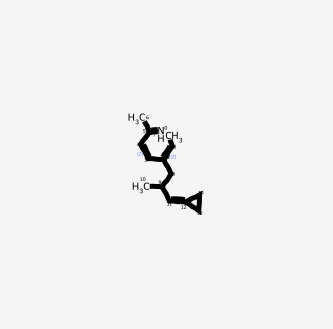 C/C=C(\C=C/C(C)=N)CC(C)C=C1CC1